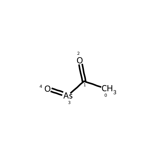 CC(=O)[As]=O